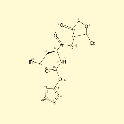 CCC1OCC(=O)C1NC(=O)[C@H](CCC(C)C)NC(=O)Oc1ccsc1